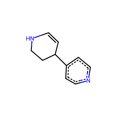 C1=CC(c2ccncc2)CCN1